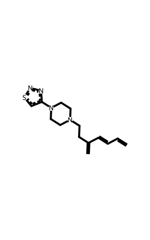 C=CC=CC(=C)CCN1CCN(c2csnn2)CC1